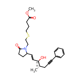 COC(=O)CCCSCCN1C(=O)CCC1C=C[C@@H](O)[C@@H](C)CC#Cc1ccccc1